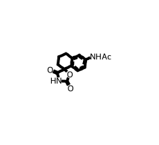 CC(=O)Nc1ccc2c(c1)CCCC21OC(=O)NC1=O